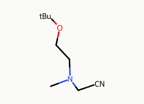 CN(CC#N)CCOC(C)(C)C